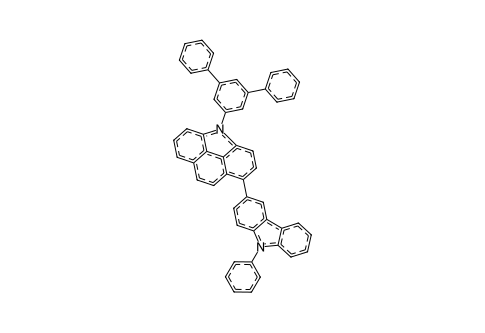 c1ccc(-c2cc(-c3ccccc3)cc(-n3c4cccc5ccc6c(-c7ccc8c(c7)c7ccccc7n8-c7ccccc7)ccc3c6c54)c2)cc1